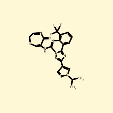 CC(C)n1cc(-c2nc3c4cccc(C(F)(F)F)c4nc(NC4=CSCC=NC4=O)n3n2)cn1